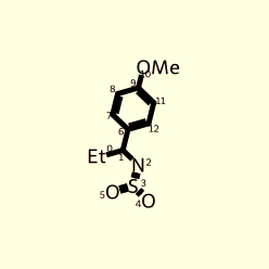 CCC(N=S(=O)=O)c1ccc(OC)cc1